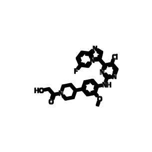 COc1cc(C2CCN(C(=O)CO)CC2)ccc1Nc1ncc(Cl)c(-c2cnc3ccc(F)cn23)n1